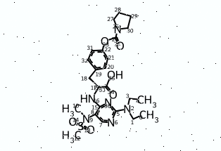 CCN(CC)c1ncc(N(C)S(C)(=O)=O)c(N[C@@H](Cc2ccc(OC(=O)N3CCCC3)cc2)C(=O)O)n1